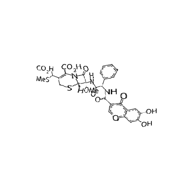 CO[C@@]1(NC(=O)C(NC(=O)c2coc3cc(O)c(O)cc3c2=O)c2ccccc2)C(=O)N2C(C(=O)O)=C(C(SC)C(=O)O)CS[C@H]21